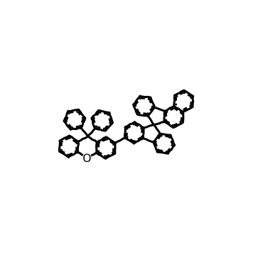 c1ccc(C2(c3ccccc3)c3ccccc3Oc3ccc(-c4ccc5c(c4)-c4ccccc4C54c5ccccc5-c5c4ccc4ccccc54)cc32)cc1